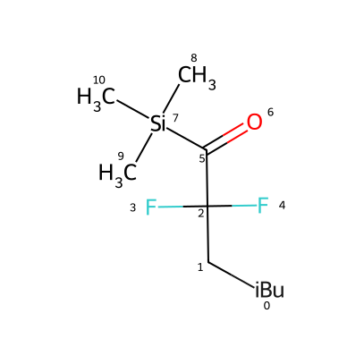 CCC(C)CC(F)(F)C(=O)[Si](C)(C)C